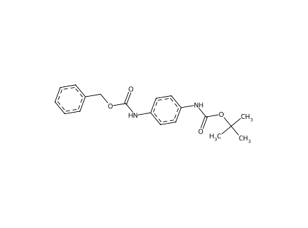 CC(C)(C)OC(=O)Nc1ccc(NC(=O)OCc2ccccc2)cc1